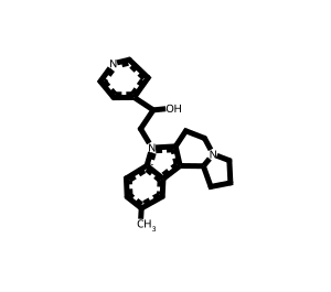 Cc1ccc2c(c1)c1c(n2CC(O)c2ccncc2)CCN2CCCC12